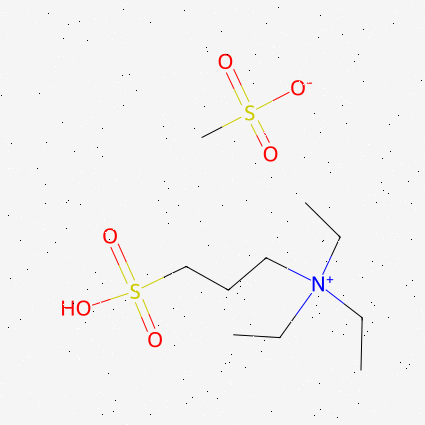 CC[N+](CC)(CC)CCCS(=O)(=O)O.CS(=O)(=O)[O-]